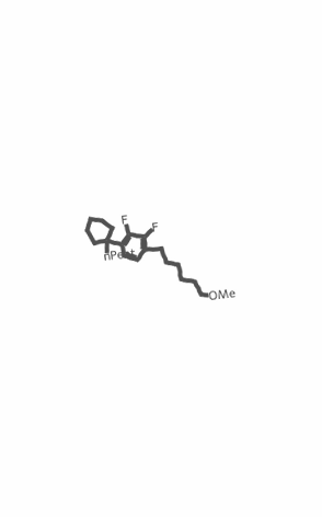 CCCCCC1(c2ccc(CCCCCCOC)c(F)c2F)CCCCC1